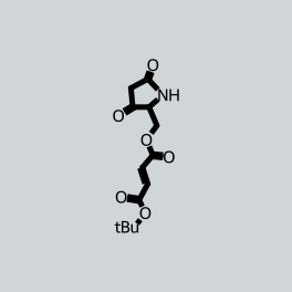 CC(C)(C)OC(=O)/C=C/C(=O)OCC1NC(=O)CC1=O